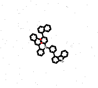 c1cc(-c2cccc3sc4ccccc4c23)cc(N(c2ccc(-c3cccc4ccccc34)cc2)c2ccccc2-c2ccc3ccccc3c2)c1